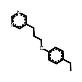 CCc1ccc(OCCCc2cncnc2)cc1